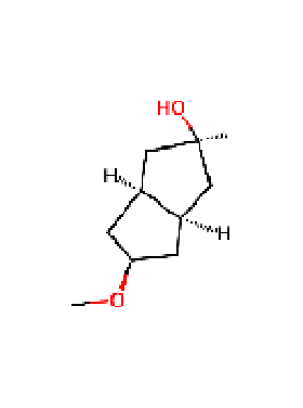 CO[C@@H]1C[C@@H]2C[C@](C)(O)C[C@@H]2C1